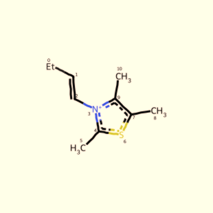 CCC=C[n+]1c(C)sc(C)c1C